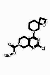 CC(C)(C)OC(=O)N1CCc2c(nc(Cl)nc2N2CCCC3(CCO3)C2)C1